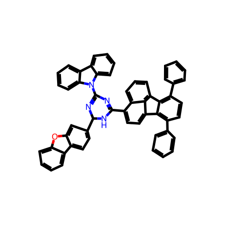 c1ccc(-c2ccc(-c3ccccc3)c3c2-c2cccc4c(C5=NC(n6c7ccccc7c7ccccc76)=NC(c6ccc7c(c6)oc6ccccc67)N5)ccc-3c24)cc1